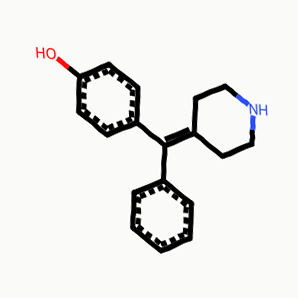 Oc1ccc(C(=C2CCNCC2)c2ccccc2)cc1